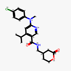 CC(C)c1cc(N(C)c2ccc(Cl)cc2)ncc1C(=O)NCC1CCOC(=O)C1